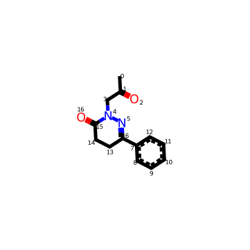 CC(=O)CN1N=C(c2ccccc2)CCC1=O